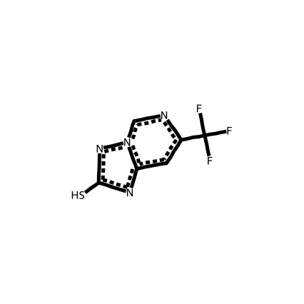 FC(F)(F)c1cc2nc(S)nn2cn1